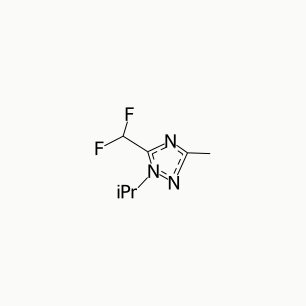 Cc1nc(C(F)F)n(C(C)C)n1